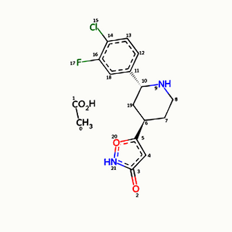 CC(=O)O.O=c1cc([C@@H]2CCN[C@@H](c3ccc(Cl)c(F)c3)C2)o[nH]1